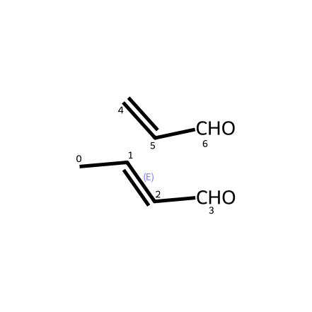 C/C=C/C=O.C=CC=O